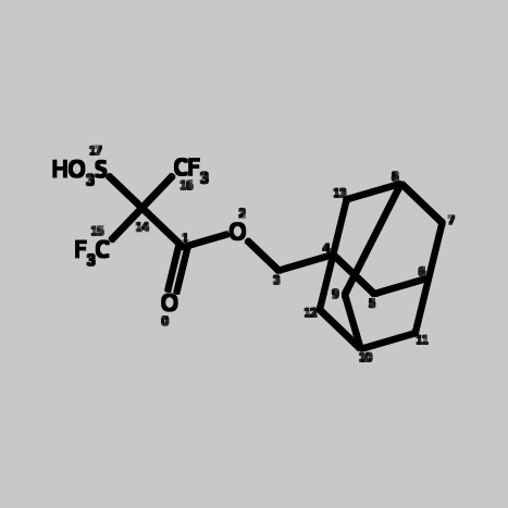 O=C(OCC12CC3CC(CC(C3)C1)C2)C(C(F)(F)F)(C(F)(F)F)S(=O)(=O)O